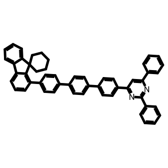 c1ccc(-c2cc(-c3ccc(-c4ccc(-c5ccc(-c6cccc7c6C6(CCCCC6)c6ccccc6-7)cc5)cc4)cc3)nc(-c3ccccc3)n2)cc1